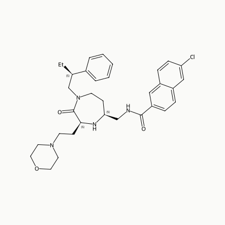 CC[C@H](CN1CC[C@@H](CNC(=O)c2ccc3cc(Cl)ccc3c2)N[C@@H](CCN2CCOCC2)C1=O)c1ccccc1